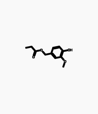 CCC(=O)OCc1ccc(O)c(OC)c1